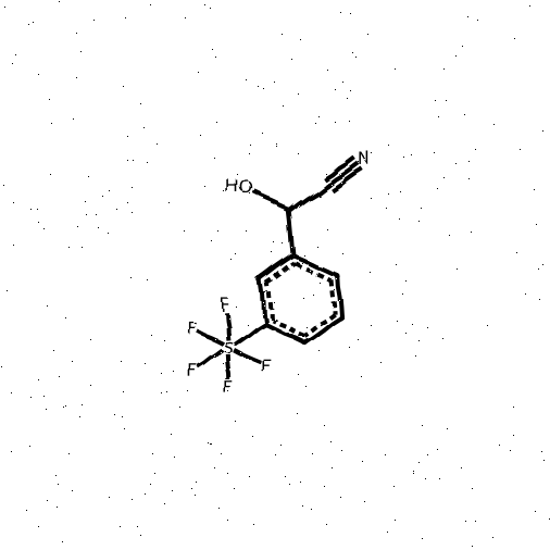 N#CC(O)c1cccc(S(F)(F)(F)(F)F)c1